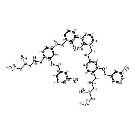 N#Cc1cncc(COc2nc(OCc3cccc(-c4cccc(COc5ccc(CNC[C@@H](O)CC(=O)O)c(OCc6cncc(C#N)c6)n5)c4Cl)c3Cl)ccc2CNC[C@@H](O)CC(=O)O)c1